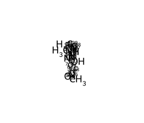 CN(c1cnc(-c2ccc(-c3cc(=O)n(C)cc3F)cc2O)nn1)[C@H]1C[C@@H]2CCC[C@@](C)(N2)[C@H]1F